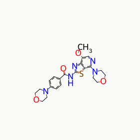 COc1cnc(N2CCOCC2)c2sc(NC(=O)c3ccc(N4CCOCC4)cc3)nc12